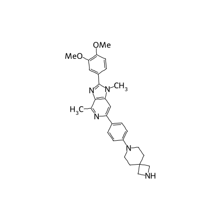 COc1ccc(-c2nc3c(C)nc(-c4ccc(N5CCC6(CC5)CNC6)cc4)cc3n2C)cc1OC